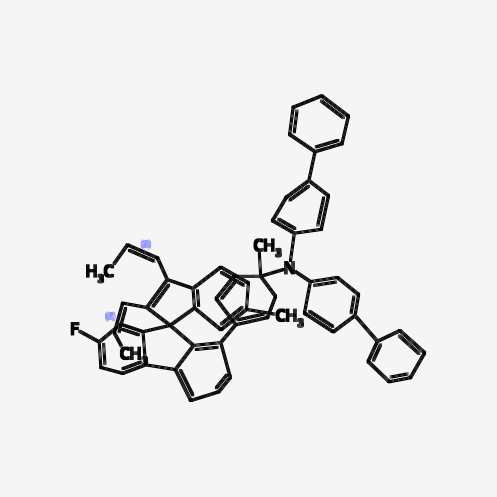 C/C=C\C1=C(/C=C\C)C2(c3cc(C)ccc31)c1cc(F)ccc1-c1cccc(C3=CCC(C)(N(c4ccc(-c5ccccc5)cc4)c4ccc(-c5ccccc5)cc4)C=C3)c12